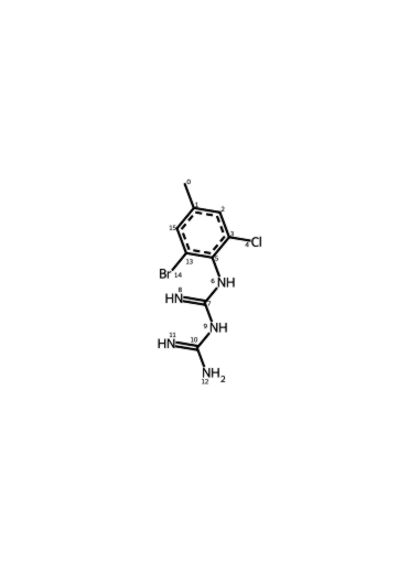 Cc1cc(Cl)c(NC(=N)NC(=N)N)c(Br)c1